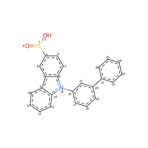 O=S(O)c1ccc2c(c1)c1ccccc1n2-c1cccc(-c2ccccc2)c1